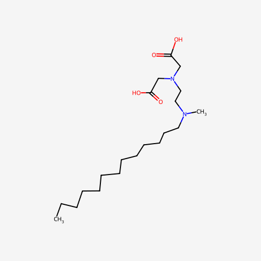 CCCCCCCCCCCCCN(C)CCN(CC(=O)O)CC(=O)O